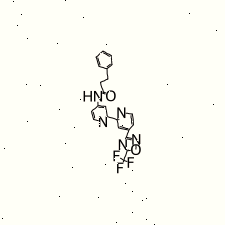 O=C(CCc1ccccc1)Nc1ccnc(-c2cc(-c3noc(C(F)(F)F)n3)ccn2)c1